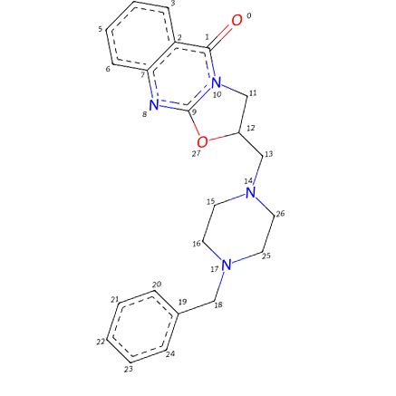 O=c1c2ccccc2nc2n1CC(CN1CCN(Cc3ccccc3)CC1)O2